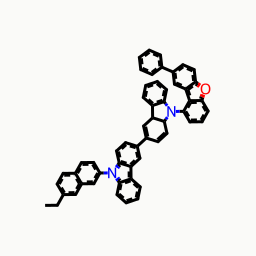 CCc1ccc2ccc(-n3c4ccccc4c4cc(C5=CC6c7ccccc7N(c7cccc8oc9ccc(-c%10ccccc%10)cc9c78)C6C=C5)ccc43)cc2c1